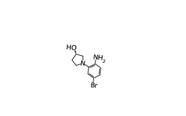 Nc1ccc(Br)cc1N1CC[C@@H](O)C1